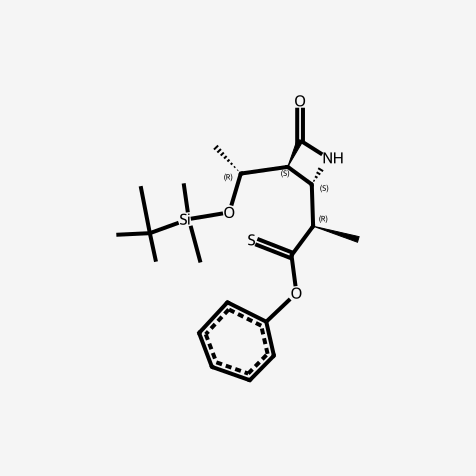 C[C@@H](O[Si](C)(C)C(C)(C)C)[C@H]1C(=O)N[C@@H]1[C@@H](C)C(=S)Oc1ccccc1